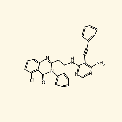 Nc1ncnc(NCCc2nc3cccc(Cl)c3c(=O)n2-c2ccccc2)c1C#Cc1ccccc1